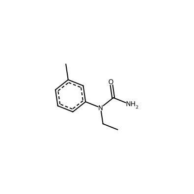 CCN(C(N)=O)c1cccc(C)c1